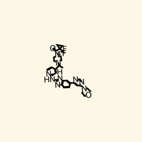 CC(c1ccnc(Nc2nc3ccc(-c4cc(N5CCOCC5)ncn4)cc3[nH]2)c1)N1CCN(C(=O)C2(C(F)(F)F)CC2)CC1